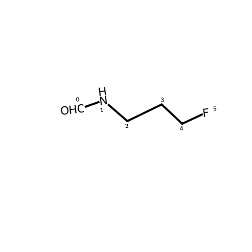 O=CNCCCF